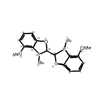 COc1cccc2c1P(C(C)(C)C)C(C1Oc3cccc(OC)c3P1C(C)(C)C)O2